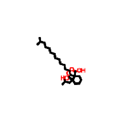 CC(C)CCCCCCCCCCCCC1(C(=O)O)CCCCC1(CC(C)C)C(=O)O